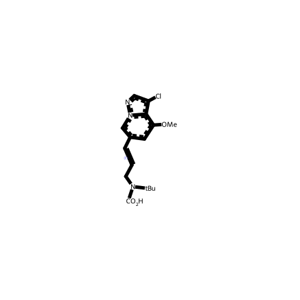 COc1cc(/C=C/CN(C(=O)O)C(C)(C)C)cn2ncc(Cl)c12